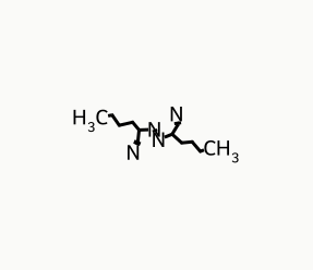 CCCCC(C#N)/N=N/C(C#N)CCCC